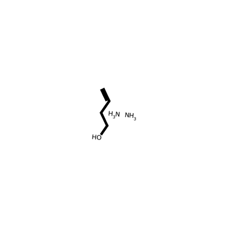 C=CCCO.N.N